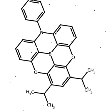 CC(C)c1cc(C(C)C)c2c3c1Oc1cccc4c1B3c1c(cccc1N4c1ccccc1)O2